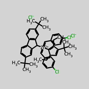 CCC1=[C]([Zr+2](=[CH]c2ccc(Cl)cc2)(=[CH]c2ccc(Cl)cc2)[CH]2c3cc(C(C)(C)C)ccc3-c3ccc(C(C)(C)C)cc32)C(CC)C=C1C(C)(C)C.[Cl-].[Cl-]